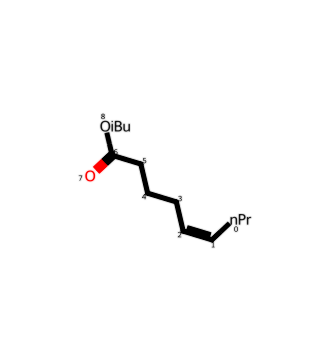 CCC/C=C\CCCC(=O)OCC(C)C